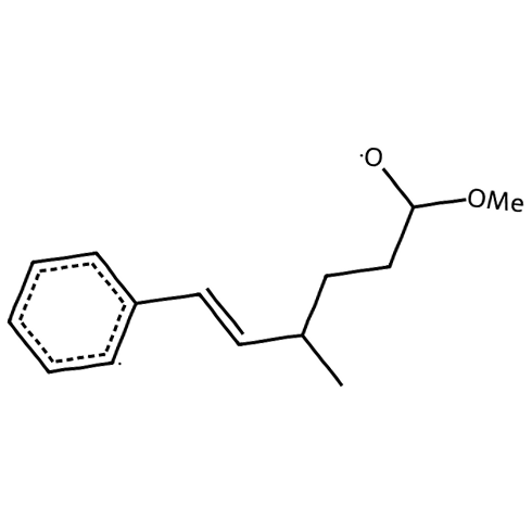 COC([O])CCC(C)C=Cc1[c]cccc1